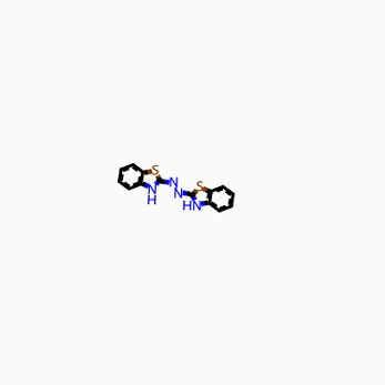 c1ccc2sc(=NN=c3[nH]c4ccccc4s3)[nH]c2c1